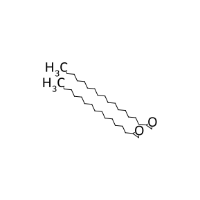 CCCCCCCCCCCCCCC1CO1.CCCCCCCCCCCCCCCCC1CO1